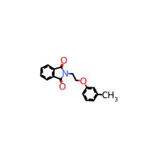 Cc1cccc(OCCN2C(=O)c3ccccc3C2=O)c1